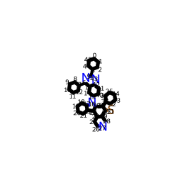 c1ccc(-c2nc(-c3ccccc3)c3cc(-n4c5ccccc5c5c6ccncc6c6sc7ccccc7c6c54)ccc3n2)cc1